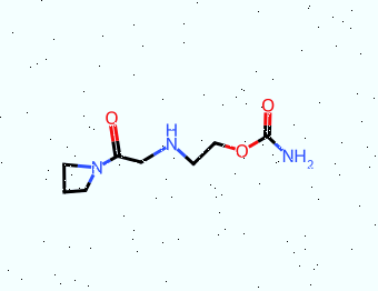 NC(=O)OCCNCC(=O)N1CCC1